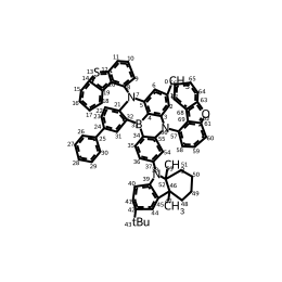 Cc1cc2c3c(c1)N(c1cccc4sc5ccccc5c14)c1ccc(-c4ccccc4)cc1B3c1ccc(N3c4ccc(C(C)(C)C)cc4C4(C)CCCCC34C)cc1N2c1cccc2oc3ccccc3c12